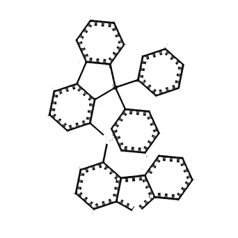 c1ccc(C2(c3ccccc3)c3ccccc3-c3cccc(Nc4cccc5oc6ccccc6c45)c32)cc1